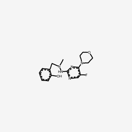 CN(Cc1ccccc1O)Nc1ncc(F)c(N2CCOCC2)n1